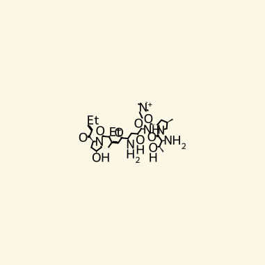 CC/C=C/C(=O)[C@@H]1C[C@@H](O)CN1C(=O)[C@H](CC)/C(C)=C\C(=O)[C@@H](N)C[C@@H](O)[C@H](NC(=O)[C@@H]1C[C@@H](C)CN1C(=O)[C@@H](N)[C@@H](C)O)OCC[N+](C)(C)C